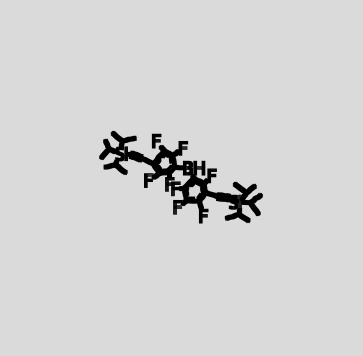 CC(C)[Si](C#Cc1c(F)c(F)c(Bc2c(F)c(F)c(F)c(C#C[Si](C(C)C)(C(C)C)C(C)C)c2F)c(F)c1F)(C(C)C)C(C)C